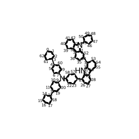 c1ccc(-c2ccc(N(c3ccc(-c4ccccc4)cc3)c3ccc(-c4cccc5c4[nH]c4c(-c6ccc7c8ccccc8n(-c8ccccc8)c7c6)cccc45)cc3)cc2)cc1